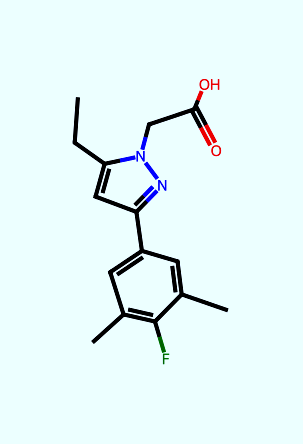 CCc1cc(-c2cc(C)c(F)c(C)c2)nn1CC(=O)O